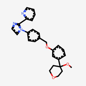 COC1(c2cccc(OCc3ccc(-n4ccnc4-c4ccccn4)cc3)c2)CCOCC1